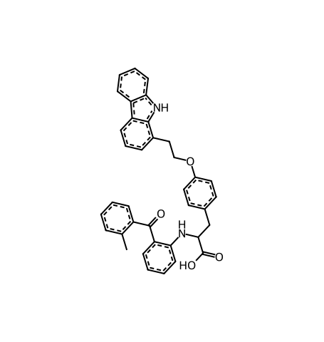 Cc1ccccc1C(=O)c1ccccc1NC(Cc1ccc(OCCc2cccc3c2[nH]c2ccccc23)cc1)C(=O)O